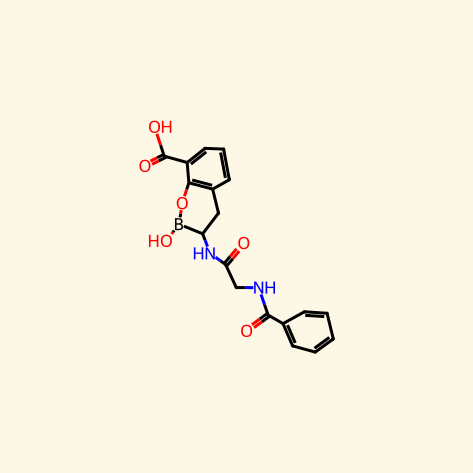 O=C(CNC(=O)c1ccccc1)NC1Cc2cccc(C(=O)O)c2OB1O